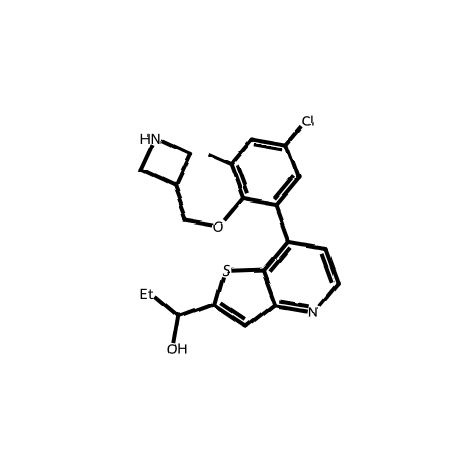 CCC(O)c1cc2nccc(-c3cc(Cl)cc(C)c3OCC3CNC3)c2s1